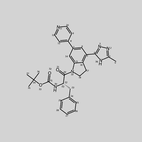 Cc1nnc(-c2cc(-c3ccncc3)cc3c2CCN3C(=O)[C@H](Cc2ccccc2)NC(=O)OC(C)(C)C)[nH]1